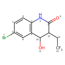 O=C1Nc2ccc(Br)cc2C(O)C1CC(F)(F)F